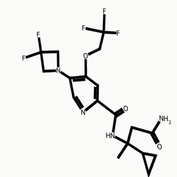 CC(CC(N)=O)(NC(=O)c1cc(OCC(F)(F)F)c(N2CC(F)(F)C2)cn1)C1CC1